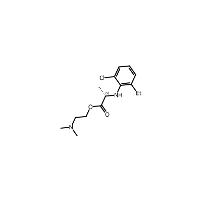 CCc1cccc(Cl)c1N[C@@H](C)C(=O)OCCN(C)C